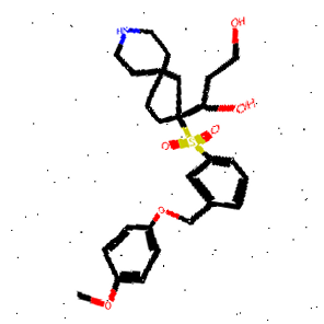 COc1ccc(OCc2cccc(S(=O)(=O)C3(C(O)CCO)CCC4(CCNCC4)C3)c2)cc1